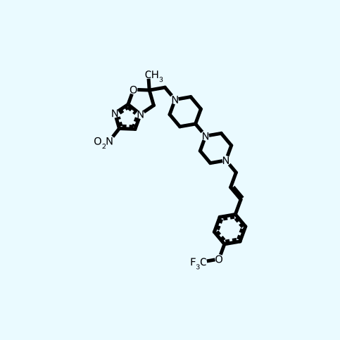 CC1(CN2CCC(N3CCN(CC=Cc4ccc(OC(F)(F)F)cc4)CC3)CC2)Cn2cc([N+](=O)[O-])nc2O1